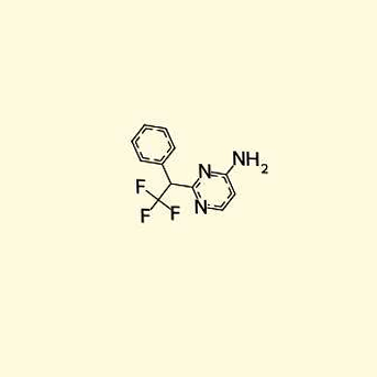 Nc1ccnc(C(c2ccccc2)C(F)(F)F)n1